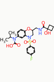 CC(C)N(C(=O)O)c1ccc2c(c1)N(S(=O)(=O)c1ccc(F)cc1)CC(CNC(=O)C1(O)CCC1)O2